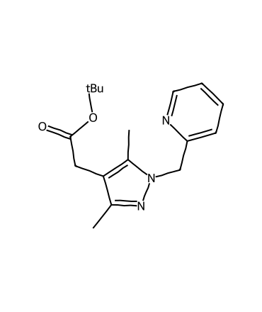 Cc1nn(Cc2ccccn2)c(C)c1CC(=O)OC(C)(C)C